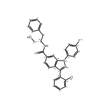 O=C(N[C@H](CO)Cc1ccccc1)c1ccc2c(-c3ccccc3Cl)nn(-c3ccc(F)cc3)c2c1